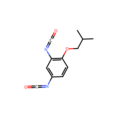 CC(C)COc1ccc(N=C=O)cc1N=C=O